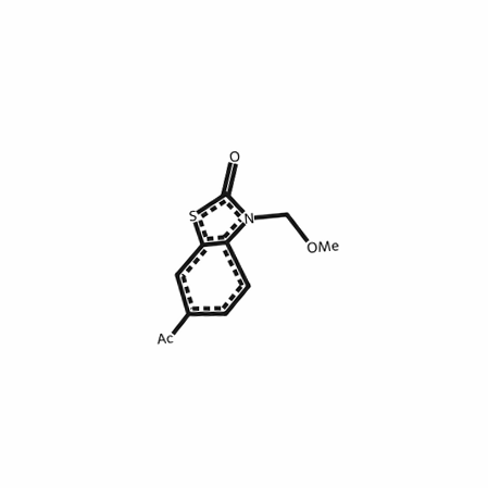 COCn1c(=O)sc2cc(C(C)=O)ccc21